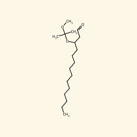 CCCCCCCCCCCC(CC=O)OC(C)(C)OC